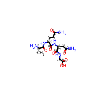 C[C@H](N)C(=O)N[C@@H](CCC(N)=O)C(=O)N[C@@H](CC(N)=O)C(=O)NCC(=O)O